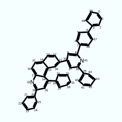 c1ccc(-c2ccc(-c3cc(-c4ccc5ccc6nc(-c7ccccc7)cc(-c7ccccc7)c6c5c4)cc(-c4ccccc4)n3)cc2)cc1